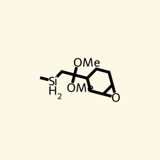 COC(C[SiH2]C)(OC)C1CCC2OC2C1